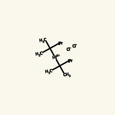 CC(C)[C](C)(C)[Hf+2][C](C)(C)C(C)C.[Cl-].[Cl-]